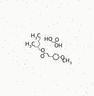 CCCCC(CC)COC(=O)/C=C/c1ccc(OC)cc1.O=C(O)CO